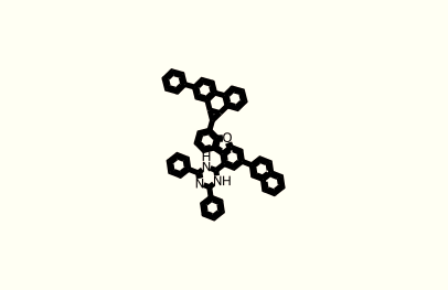 c1ccc(C2=NC(c3ccccc3)NC(c3cc(-c4ccc5ccccc5c4)cc4oc5c(C6C7c8ccccc8-c8ccc(-c9ccccc9)cc8C76)cccc5c34)N2)cc1